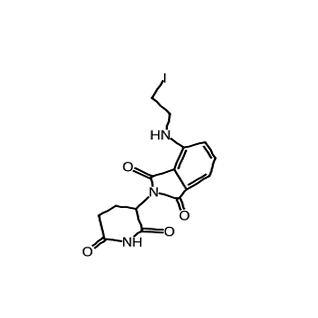 O=C1CCC(N2C(=O)c3cccc(NCCI)c3C2=O)C(=O)N1